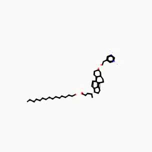 CCCCCCCCCCCCCCCCOC(=O)CCC(C)[C@H]1CC[C@H]2[C@@H]3CCC4CC(OCCc5cc(N)cc(N)c5)CC[C@]4(C)[C@H]3CC[C@]12C